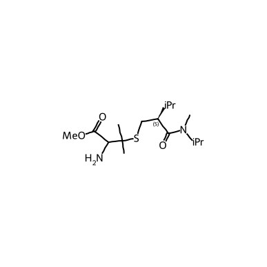 COC(=O)C(N)C(C)(C)SC[C@H](C(=O)N(C)C(C)C)C(C)C